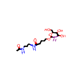 CC(=O)NCCCNC(=O)CCCCOC1OC(CO)C(O)C(O)P1